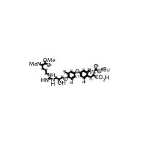 CNC(CCCNC(=N)NCC(O)COc1c(I)cc(Oc2cc(I)c(CC(NC(=O)OC(C)(C)C)C(=O)O)c(I)c2)cc1I)C(=O)OC